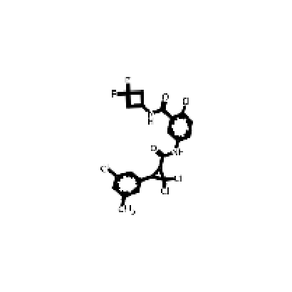 Cc1cc(Cl)cc(C2C(C(=O)Nc3ccc(Cl)c(C(=O)NC4CC(F)(F)C4)c3)C2(Cl)Cl)c1